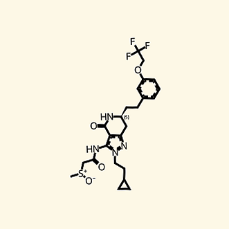 C[S+]([O-])CC(=O)Nc1c2c(nn1CCC1CC1)C[C@H](CCc1cccc(OCC(F)(F)F)c1)NC2=O